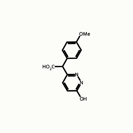 COc1ccc(C(C(=O)O)c2ccc(O)nn2)cc1